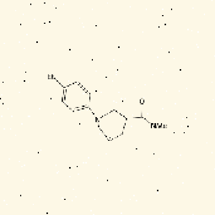 CCc1ccc(N2CCCC(C(=O)NC)C2)cc1